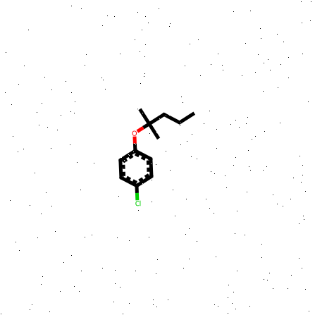 [CH2]C(C)([CH]CC)Oc1ccc(Cl)cc1